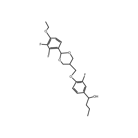 CCCC(O)c1ccc(OCC2COC(c3ccc(OCC)c(F)c3F)OC2)c(F)c1